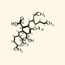 CCCCC(CC)Cc1c(C)cc(C(=O)O)c(CC(CC)CCCC)c1C(=O)O